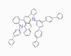 c1ccc(-c2ccc(-c3cc(-c4ccc(-c5ccccc5)cc4)cc(-n4c5ccccc5c5cc(-c6ccccc6N(c6ccc(-c7ccccc7)cc6)c6cccc7ccccc67)ccc54)c3)cc2)cc1